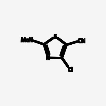 CNc1nc(Cl)c(C#N)s1